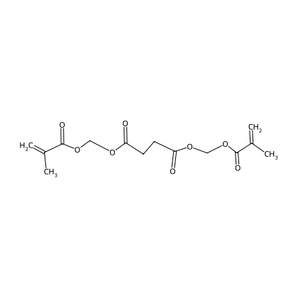 C=C(C)C(=O)OCOC(=O)CCC(=O)OCOC(=O)C(=C)C